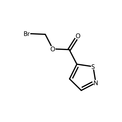 O=C(OCBr)c1ccns1